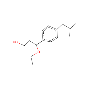 CCOC(CCO)c1ccc(CC(C)C)cc1